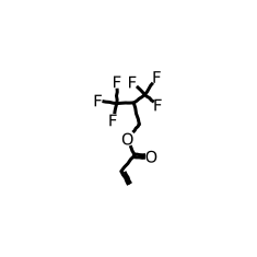 C=CC(=O)OCC(C(F)(F)F)C(F)(F)F